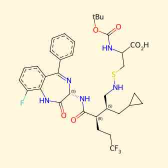 CC(C)(C)OC(=O)NC(CSNC[C@@H](CC1CC1)[C@@H](CCC(F)(F)F)C(=O)N[C@H]1N=C(c2ccccc2)c2cccc(F)c2NC1=O)C(=O)O